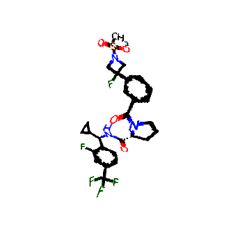 CS(=O)(=O)N1CC(F)(c2cccc(C(=O)N3CCC[C@@H]3C(=O)N[C@@H](c3ccc(C(F)(F)F)cc3F)C3CC3)c2)C1